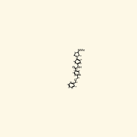 CNC1CCN(c2ccc(NC(=O)c3ccc(COCc4ccccc4)nc3)cc2)C1